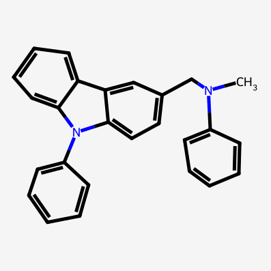 CN(Cc1ccc2c(c1)c1ccccc1n2-c1ccccc1)c1ccccc1